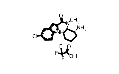 CN(C(=O)c1cc2cc(Cl)ccc2[nH]1)[C@H]1CCCC[C@H]1N.O=C(O)C(F)(F)F